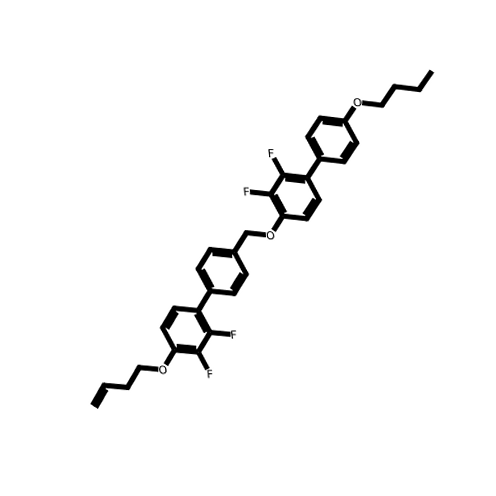 C=CCCOc1ccc(-c2ccc(COc3ccc(-c4ccc(OCCCC)cc4)c(F)c3F)cc2)c(F)c1F